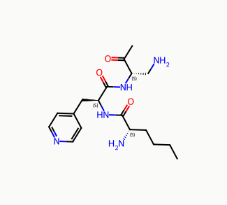 CCCC[C@H](N)C(=O)N[C@@H](Cc1ccncc1)C(=O)N[C@@H](CN)C(C)=O